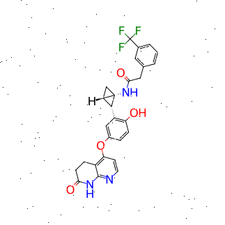 O=C1CCc2c(Oc3ccc(O)c([C@@H]4[C@@H]5C[C@@]45NC(=O)Cc4cccc(C(F)(F)F)c4)c3)ccnc2N1